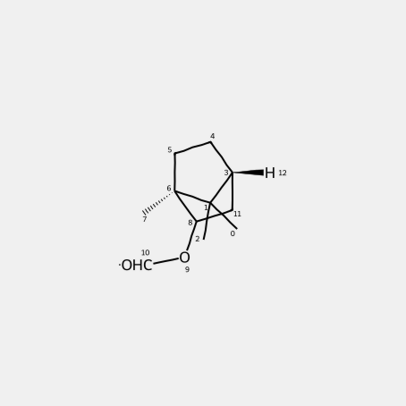 CC1(C)[C@@H]2CC[C@]1(C)C(O[C]=O)C2